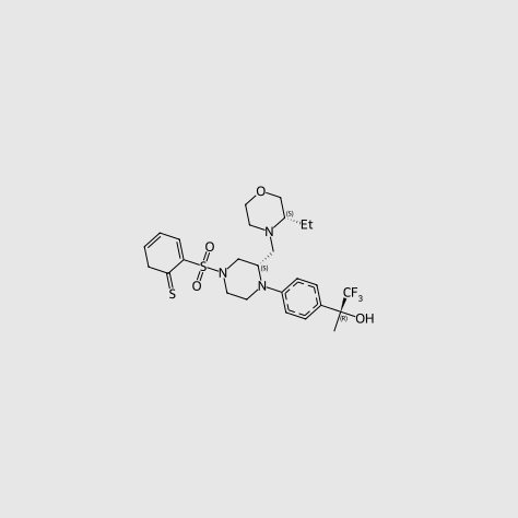 CC[C@H]1COCCN1C[C@H]1CN(S(=O)(=O)C2=CC=CCC2=S)CCN1c1ccc([C@@](C)(O)C(F)(F)F)cc1